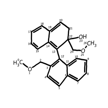 COCc1ccc2ccccc2c1C1=c2ccccc2=CCC1(O)COC